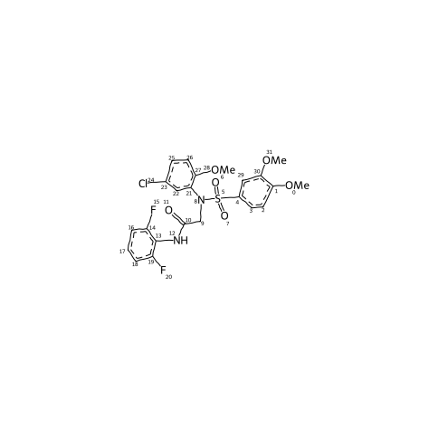 COc1ccc(S(=O)(=O)N(CC(=O)Nc2c(F)cccc2F)c2cc(Cl)ccc2OC)cc1OC